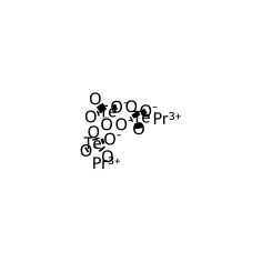 O=[Te](=O)([O-])[O-].O=[Te](=O)([O-])[O-].O=[Te](=O)([O-])[O-].[Pr+3].[Pr+3]